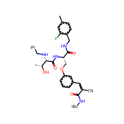 Cc1ccc(CNC(=O)[C@H](COc2cccc(C=C(C#N)C(=O)NC(C)(C)C)c2)NC(=O)[C@@H](NCC(C)C)[C@@H](C)O)c(F)c1